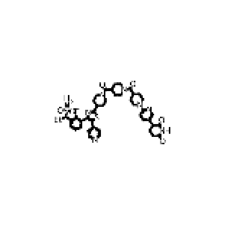 CCC(c1cccc(-c2nc(C3CCN(C(=O)C4CCN(C(=O)C5CCN(c6ccc(C7CCC(=O)NC7=O)cn6)CC5)CC4)CC3)sc2-c2ccncc2)c1F)S(N)(=O)=O